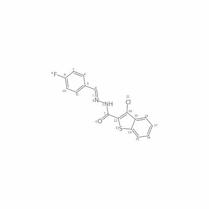 O=C(N/N=C/c1ccc(F)cc1)c1sc2ccccc2c1Cl